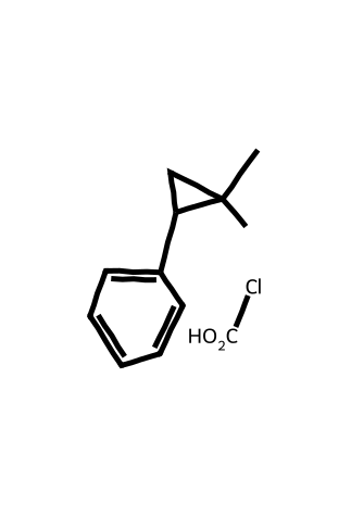 CC1(C)CC1c1ccccc1.O=C(O)Cl